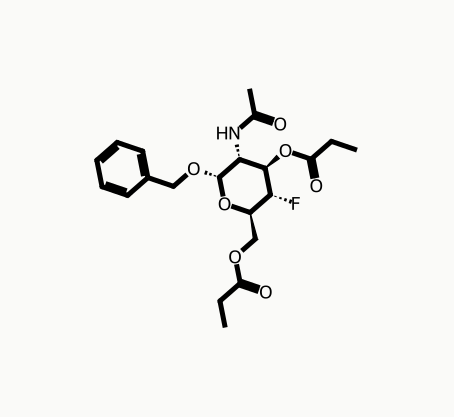 CCC(=O)OC[C@H]1O[C@H](OCc2ccccc2)[C@H](NC(C)=O)[C@@H](OC(=O)CC)[C@@H]1F